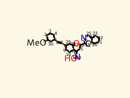 COc1cccc(C#Cc2ccc3/c(=N\O)cc(-c4cc5ccccc5cn4)oc3c2)c1